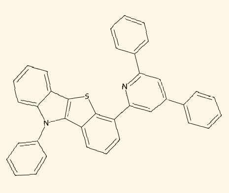 c1ccc(-c2cc(-c3ccccc3)nc(-c3cccc4c3sc3c5ccccc5n(-c5ccccc5)c43)c2)cc1